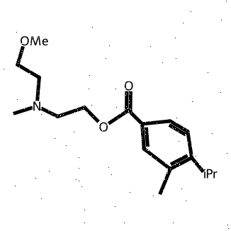 COCCN(C)CCOC(=O)c1ccc(C(C)C)c(C)c1